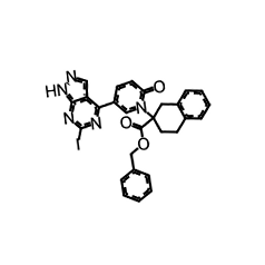 O=C(OCc1ccccc1)C1(n2cc(-c3nc(I)nc4[nH]ncc34)ccc2=O)CCc2ccccc2C1